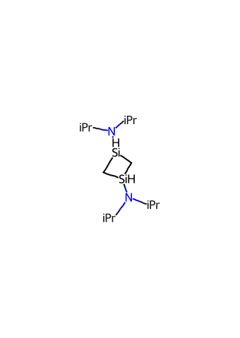 CC(C)N(C(C)C)[SiH]1C[SiH](N(C(C)C)C(C)C)C1